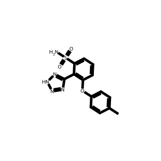 Cc1ccc(Oc2cccc(S(N)(=O)=O)c2-c2nn[nH]n2)cc1